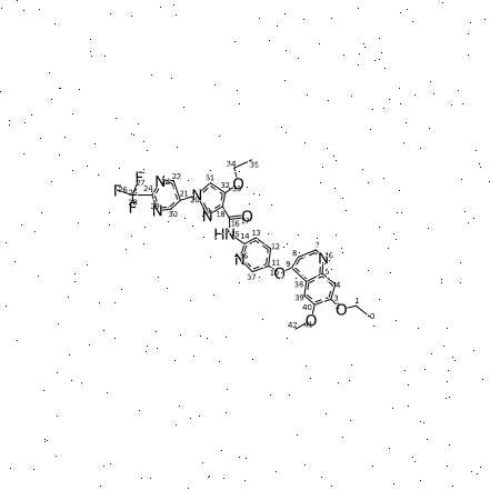 CCOc1cc2nccc(Oc3ccc(NC(=O)c4nn(-c5cnc(C(F)(F)F)nc5)cc4OCC)nc3)c2cc1OC